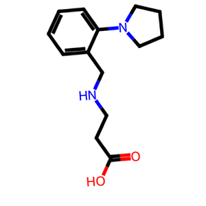 O=C(O)CCNCc1ccccc1N1CCCC1